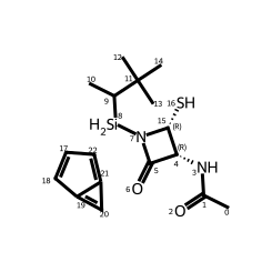 CC(=O)N[C@@H]1C(=O)N([SiH2]C(C)C(C)(C)C)[C@@H]1S.c1cc2cc-2c1